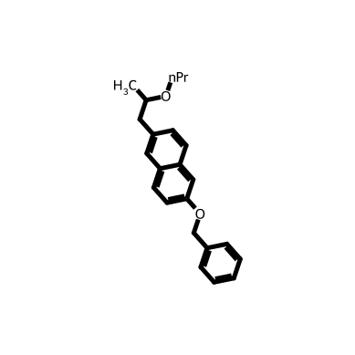 CCCOC(C)Cc1ccc2cc(OCc3ccccc3)ccc2c1